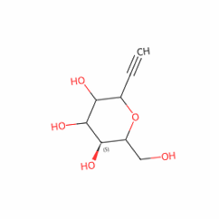 C#CC1OC(CO)[C@@H](O)C(O)C1O